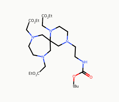 CCOC(=O)CN1CCN(CC(=O)OCC)CC2(CN(CCNC(=O)OC(C)(C)C)CCN2CC(=O)OCC)C1